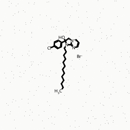 CCCCCCCCCCCCCN1c2nccc[n+]2CC1(O)c1ccc(Cl)cc1.[Br-]